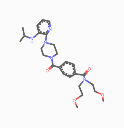 COCCN(CCOC)C(=O)c1ccc(C(=O)N2CCN(c3ncccc3NC(C)C)CC2)cc1